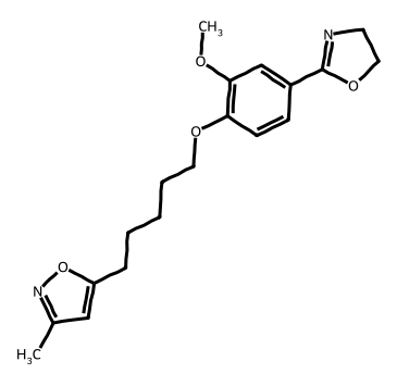 COc1cc(C2=NCCO2)ccc1OCCCCCc1cc(C)no1